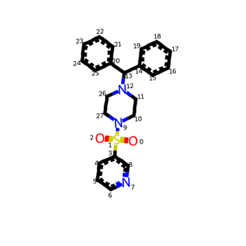 O=S(=O)(c1cccnc1)N1CCN(C(c2ccccc2)c2ccccc2)CC1